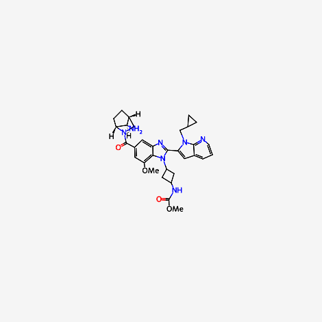 COC(=O)NC1CC(n2c(-c3cc4cccnc4n3CC3CC3)nc3cc(C(=O)N4C[C@H]5CC[C@@H]4[C@@H]5N)cc(OC)c32)C1